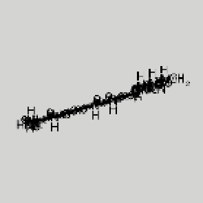 C=CC(=O)Nc1cccc(Nc2nc(Nc3ccc(OCCOCCNC(=O)CCCC(=O)NCCCOCCOCCOCCCNC(=O)CCCCC4SC[C@@H]5NC(=O)N[C@H]45)c(F)c3)ncc2C#N)c1